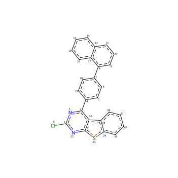 Clc1nc(-c2ccc(-c3cccc4ccccc34)cc2)c2c(n1)sc1ccccc12